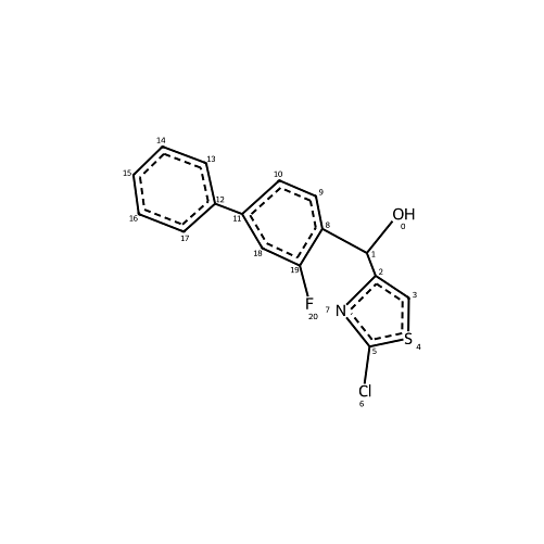 OC(c1csc(Cl)n1)c1ccc(-c2ccccc2)cc1F